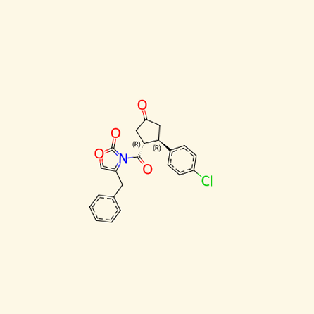 O=C1C[C@@H](C(=O)n2c(Cc3ccccc3)coc2=O)[C@H](c2ccc(Cl)cc2)C1